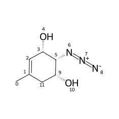 CC1=C[C@H](O)[C@H](N=[N+]=[N-])[C@H](O)C1